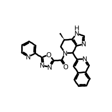 C[C@@H]1CN(C(=O)c2nnc(-c3ccccn3)o2)C(c2cc3ccccc3cn2)c2nc[nH]c21